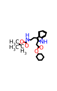 CC(C)(C)OC(=O)NCCc1c(CC(=O)OC2CCCCC2)[nH]c2ccccc12